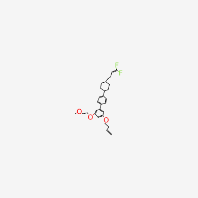 C=CCCOc1cc(OCCOC)cc(-c2ccc(C3CCC(CCC=C(F)F)CC3)cc2)c1